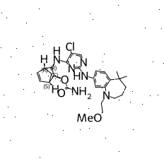 COCCN1CCCC(C)(C)c2ccc(Nc3ncc(Cl)c(N[C@H]4[C@@H](OC(N)=O)[C@@H]5C=C[C@H]4C5)n3)cc21